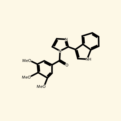 COc1cc(C(=O)n2ccnc2-c2c[nH]c3ccccc23)cc(OC)c1OC